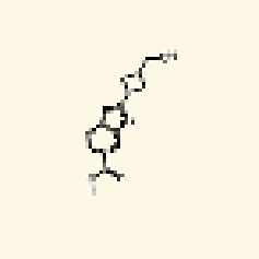 COC(=O)c1ccc2cn(C3CC(CO)C3)nc2c1